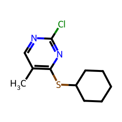 Cc1cnc(Cl)nc1SC1CCCCC1